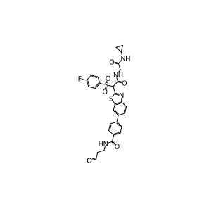 O=CCCNC(=O)c1ccc(-c2ccc3nc(C(C(=O)NCC(=O)NC4CC4)S(=O)(=O)c4ccc(F)cc4)sc3c2)cc1